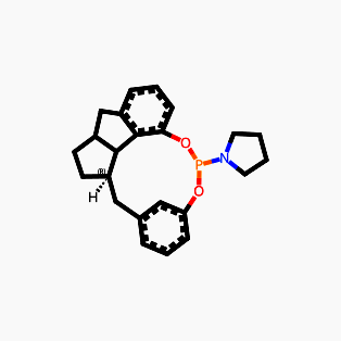 c1cc2cc(c1)OP(N1CCCC1)Oc1cccc3c1C1C(CC[C@@H]1C2)C3